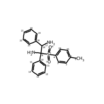 Cc1ccc(S(=O)(=O)C(N)(c2ccccc2)C(N)c2ccccc2)cc1